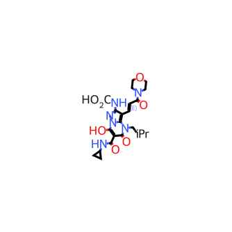 CC(C)Cn1c(=O)c(C(=O)NC2CC2)c(O)n2nc(NC(=O)O)c(/C=C/C(=O)N3CCOCC3)c12